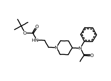 CC(=O)N(c1ccccc1)C1CCN(CCNC(=O)OC(C)(C)C)CC1